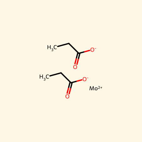 CCC(=O)[O-].CCC(=O)[O-].[Mo+2]